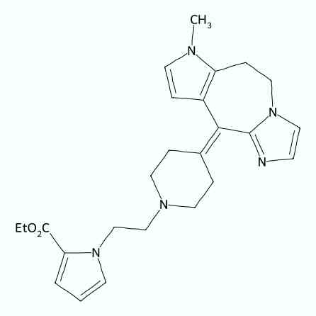 CCOC(=O)c1cccn1CCN1CCC(=C2c3ccn(C)c3CCn3ccnc32)CC1